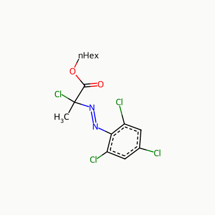 CCCCCCOC(=O)C(C)(Cl)/N=N/c1c(Cl)cc(Cl)cc1Cl